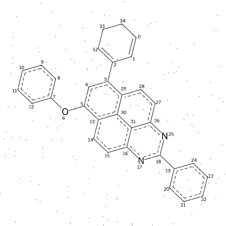 C1=CC(c2cc(Oc3ccccc3)c3ccc4nc(-c5ccccc5)nc5ccc2c3c45)=CCC1